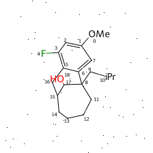 COc1cc(F)c2c(c1)C1(CC(C)C)CCCCC(C2)C1O